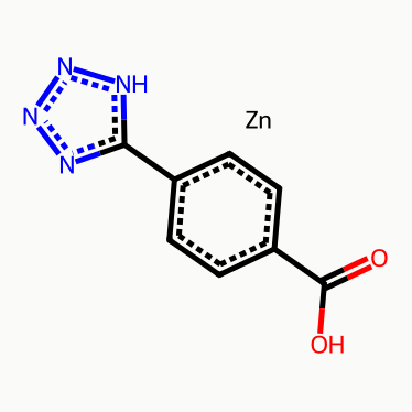 O=C(O)c1ccc(-c2nnn[nH]2)cc1.[Zn]